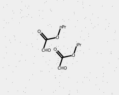 CC(C)OC(=O)C=O.CCCOC(=O)C=O